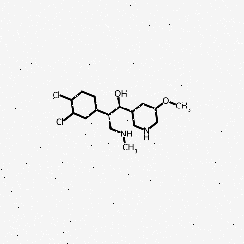 CNC[C@@H](C1CCC(Cl)C(Cl)C1)[C@@H](O)C1CNCC(OC)C1